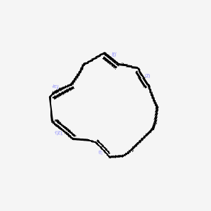 [CH]1/C=C/C=C\C=C\C/C=C/C=C\CC1